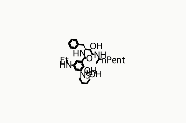 CCCCCC(C)NC[C@H](O)[C@H](Cc1ccccc1)NC(=O)c1cc(NCC)cc(N2CCCCS2(O)O)c1